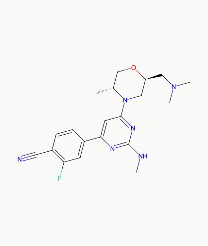 CNc1nc(-c2ccc(C#N)c(F)c2)cc(N2C[C@H](CN(C)C)OC[C@H]2C)n1